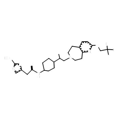 Cc1ncc(CC(=O)NC2CCC(C(F)CN3CCc4ccc(OCC(F)(F)F)nc4CC3)CC2)s1